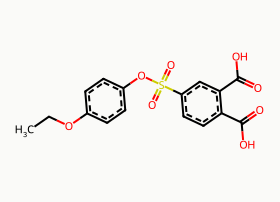 CCOc1ccc(OS(=O)(=O)c2ccc(C(=O)O)c(C(=O)O)c2)cc1